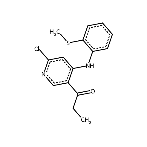 CCC(=O)c1cnc(Cl)cc1Nc1ccccc1SC